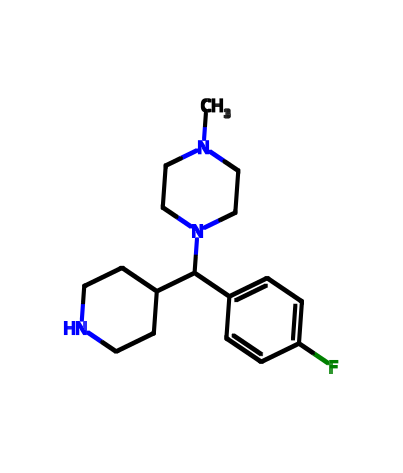 CN1CCN(C(c2ccc(F)cc2)C2CCNCC2)CC1